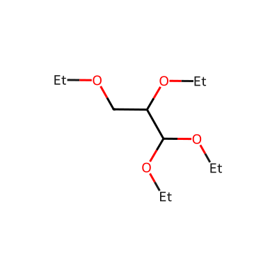 CCOCC(OCC)C(OCC)OCC